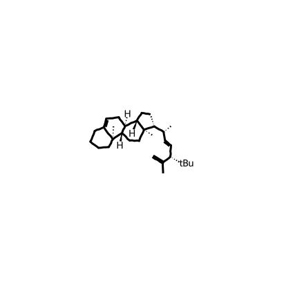 C=C(C)[C@H](C=C[C@@H](C)[C@H]1CC[C@H]2[C@@H]3CC=C4CCCC[C@]4(C)[C@H]3CC[C@]12C)C(C)(C)C